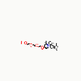 CC(C)(C)N1CCC(OCCOCCOCCO)CC1